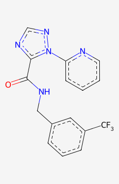 O=C(NCc1cccc(C(F)(F)F)c1)c1ncnn1-c1ccccn1